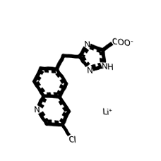 O=C([O-])c1nc(Cc2ccc3ncc(Cl)cc3c2)n[nH]1.[Li+]